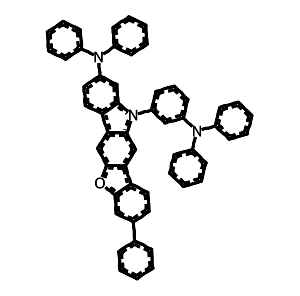 c1ccc(-c2ccc3c(c2)oc2cc4c5ccc(N(c6ccccc6)c6ccccc6)cc5n(-c5cccc(N(c6ccccc6)c6ccccc6)c5)c4cc23)cc1